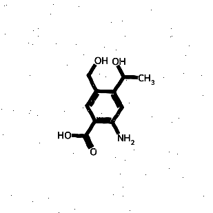 CC(O)c1cc(N)c(C(=O)O)cc1CO